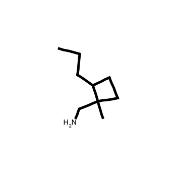 CCCC1CCC1(C)CN